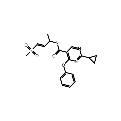 CC(C=CS(C)(=O)=O)NC(=O)c1cnc(C2CC2)nc1Oc1ccccc1